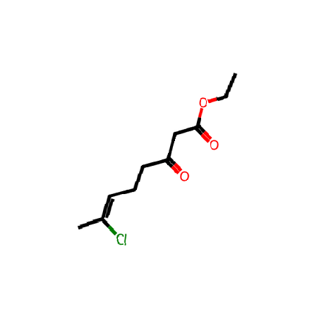 CCOC(=O)CC(=O)CCC=C(C)Cl